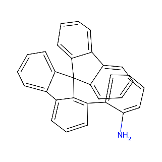 Nc1ccccc1-c1cccc2c1C1(c3ccccc3-c3ccccc31)c1ccccc1-2